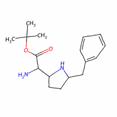 CC(C)(C)OC(=O)C(N)C1CCC(Cc2ccccc2)N1